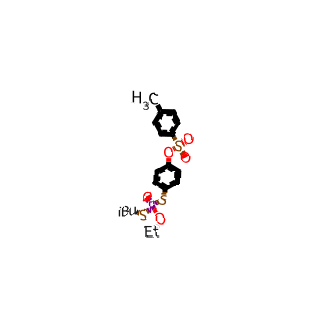 CCOP(=O)(Sc1ccc(OS(=O)(=O)c2ccc(C)cc2)cc1)SC(C)CC